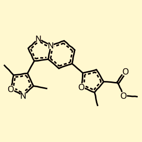 COC(=O)c1cc(-c2ccn3ncc(-c4c(C)noc4C)c3c2)oc1C